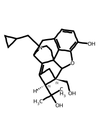 CC(C)(O)[C@H]1C2=C3C4Cc5ccc(O)c6c5C3(CCN4CC3CC3)C(O6)[C@@]1(CO)C2